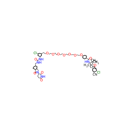 CC1(C)C(NC(=O)c2ccc(OCCOCCOCCOCCOCCOCCOCCc3cc(Cl)cc(NC(=O)NCc4ccc5c(c4)CN(C4CCC(=O)NC4=O)C5=O)c3)cc2)C(C)(C)C1Oc1ccc(C#N)c(Cl)c1